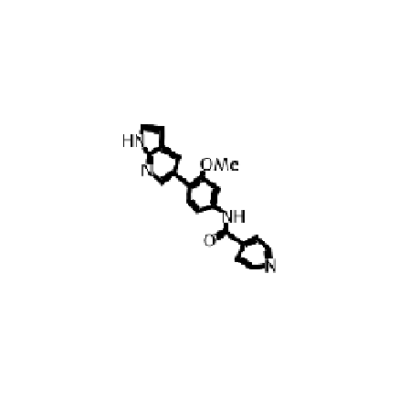 COc1cc(NC(=O)c2ccncc2)ccc1-c1cnc2[nH]ccc2c1